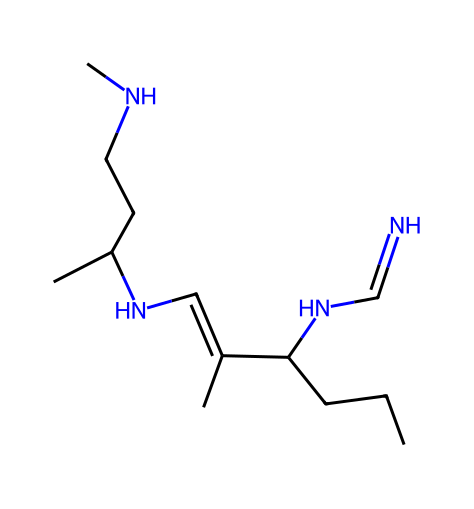 CCCC(NC=N)/C(C)=C/NC(C)CCNC